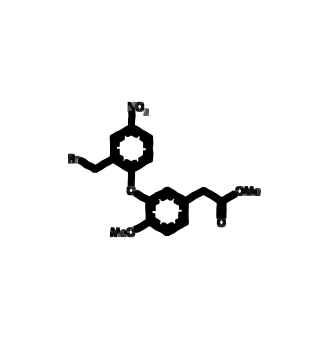 COC(=O)Cc1ccc(OC)c(Oc2ccc([N+](=O)[O-])cc2CBr)c1